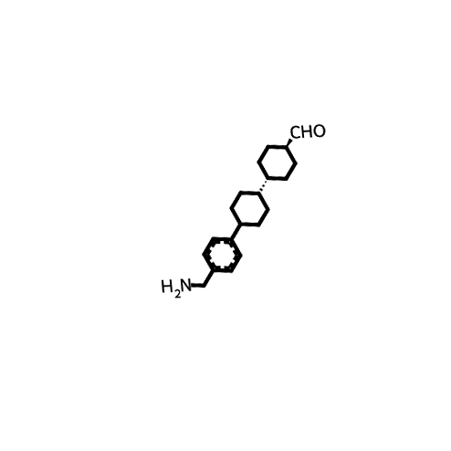 NCc1ccc(C2CCC([C@H]3CC[C@H](C=O)CC3)CC2)cc1